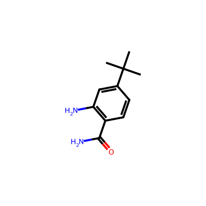 CC(C)(C)c1ccc(C(N)=O)c(N)c1